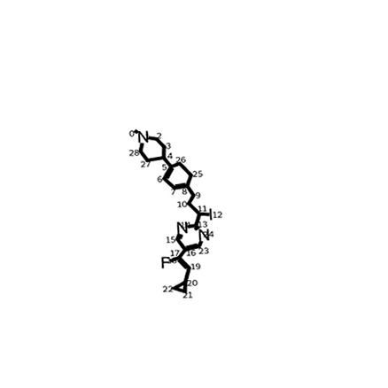 CN1CCC(C2=CC=C(CCC(I)c3ncc(/C(F)=C/C4CC4)cn3)CC2)CC1